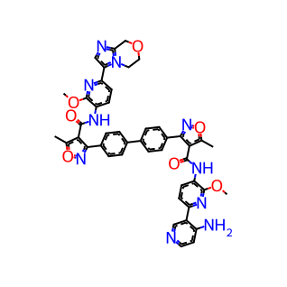 COc1nc(-c2cnccc2N)ccc1NC(=O)c1c(-c2ccc(-c3ccc(-c4noc(C)c4C(=O)Nc4ccc(-c5cnc6n5CCOC6)nc4OC)cc3)cc2)noc1C